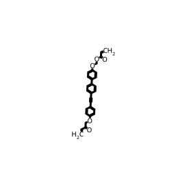 C=CC(=O)COc1ccc(C#Cc2ccc(-c3ccc(OCOC(=O)C=C)cc3)cc2)cc1